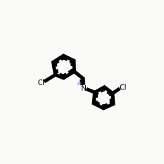 Clc1cccc(/C=N/c2cccc(Cl)c2)c1